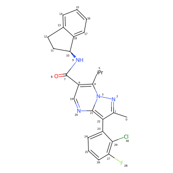 Cc1nn2c(C(C)C)c(C(=O)N[C@H]3CCc4ccccc43)cnc2c1-c1cccc(F)c1Cl